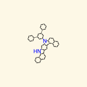 c1ccc(-c2cc(-c3ccccc3)cc(-n3c4cc5[nH]c6c7ccccc7ccc6c5cc4c4c5ccccc5ccc43)c2)cc1